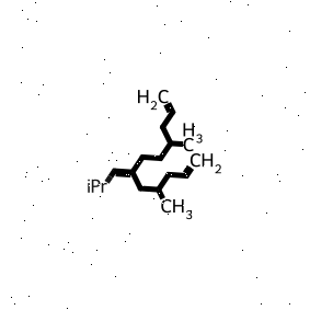 C=CCC(C)CCC(=CC(C)C)CC(C)CC=C